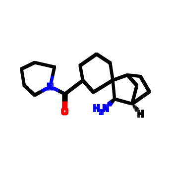 N[C@@H]1[C@@H]2CCC(C2)C12CCCC(C(=O)N1CCCCC1)C2